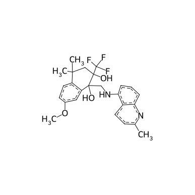 COc1ccc2c(c1)C(O)(CNc1cccc3nc(C)ccc13)C(O)(C(F)(F)F)CC2(C)C